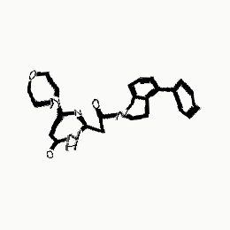 O=C(Cc1nc(N2CCOCC2)cc(=O)[nH]1)N1CCc2c(-c3ccccc3)cccc21